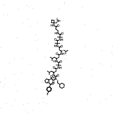 CC(C)C[C@@H](CC(=O)NC(C)(C)C(=O)NC(C)(C)C(=O)NCCC(=O)NC1(CN(C)C)CCC1)NC(=O)C[C@H](CC(C)C)NC(=O)C(C)(C)NC(=O)C[C@H](CC(C)C)NC(=O)[C@H](CCC1CCCCC1)NC(=O)[C@@H]1CCCN1C(=O)c1ccc(F)cc1